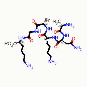 CC(C)[C@H](NC(=O)[C@H](CCCCN)NC(=O)[C@H](CC(N)=O)NC(=O)[C@H](C)N)C(=O)NCC(=O)N[C@@H](CCCCN)C(=O)O